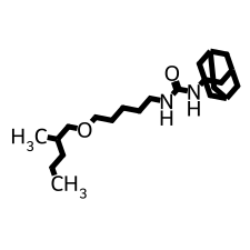 CCCC(C)COCCCCCNC(=O)NC12CC3CC(CC(C3)C1)C2